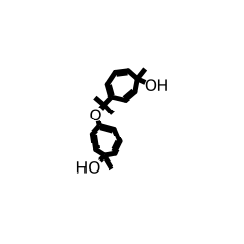 CC1(O)C=CC=C(OC(C)(C)C2=CC=CC(C)(O)C=C2)C=C1